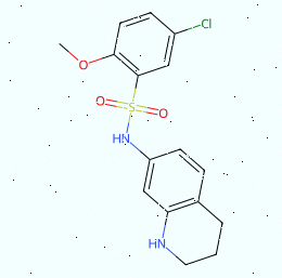 COc1ccc(Cl)cc1S(=O)(=O)Nc1ccc2c(c1)NCCC2